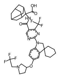 O=C(NC1(C(=O)O)C2CC3CC(C2)CC1C3)c1cnc(N2CC3(CCCCC3)c3cc(OC4CCN(CC(F)(F)F)C4)ccc32)nc1C(F)(F)F